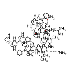 CC(C)C[C@H](NC(=O)[C@H](Cc1ccc(O)cc1)NC(=O)[C@H](C)N(C(=O)CNC(=O)[C@H](CO)NC(=O)[C@@H]1CCCN1)c1ccccc1)C(=O)N[C@@H](CCCCN)C(=O)N[C@@H](CC(C)C)C(=O)N[C@@H](CC(=O)O)C(=O)N1CCC[C@H]1C(=O)N[C@@H](CCCNC(=N)N)C(=O)N[C@@H](CC(N)=O)C(=O)N(c1ccccc1)[C@@H](C)C(=O)N[C@@H](CC(N)=O)C(=O)O